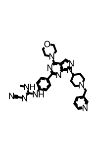 CN/C(=N\C#N)Nc1ccc(-c2nc(N3CCOCC3)c3cnn(C4CCN(Cc5cccnc5)CC4)c3n2)cc1